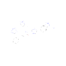 Cc1c(Cl)c(C[C@H](NC(=O)/C=C/c2cc(Cl)ccc2-c2nnn[nH]2)c2nc(-c3ccc4c(N)n[nH]c4c3)c[nH]2)nn1C